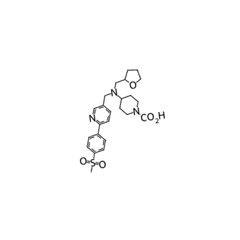 CS(=O)(=O)c1ccc(-c2ccc(CN(CC3CCCO3)C3CCN(C(=O)O)CC3)cn2)cc1